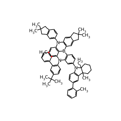 Cc1cc2c3c(c1)N(c1ccc(C(C)(C)C)cc1-c1ccccc1)c1cc(N4c5ccc(-c6ccccc6C)cc5C5(C)CCCCC45C)ccc1B3c1cc3c(cc1N2c1ccc2c(c1)CC(C)(C)C2)CC(C)(C)C3